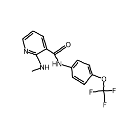 CNc1ncccc1C(=O)Nc1ccc(OC(F)(F)F)cc1